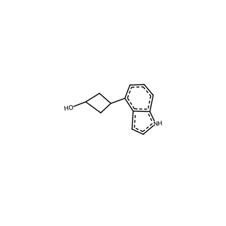 OC1CC(c2cccc3[nH]ccc23)C1